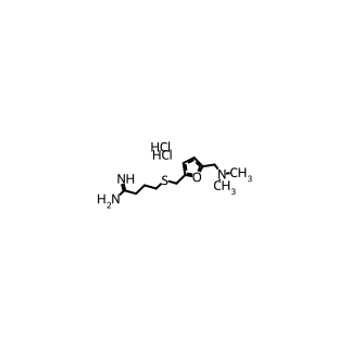 CN(C)Cc1ccc(CSCCCC(=N)N)o1.Cl.Cl